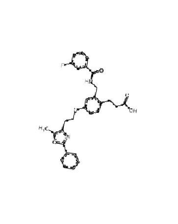 Cc1oc(-c2ccccc2)nc1CCOc1ccc(CCC(=O)O)c(CNC(=O)c2cccc(F)c2)c1